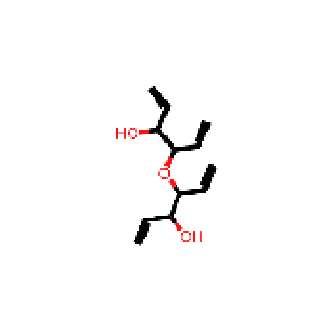 C=CC(O)C(C=C)OC(C=C)C(O)C=C